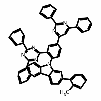 Cc1ccccc1-c1ccc2c3ccccc3n(-c3ccc(-c4cc(-c5ccccc5)nc(-c5ccccc5)n4)cc3-c3nc(-c4ccccc4)nc(-c4ccccc4)n3)c2c1